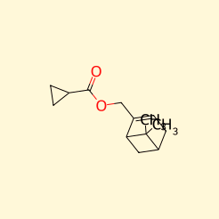 CC1(C)C2CC=C(COC(=O)C3CC3)C1C2